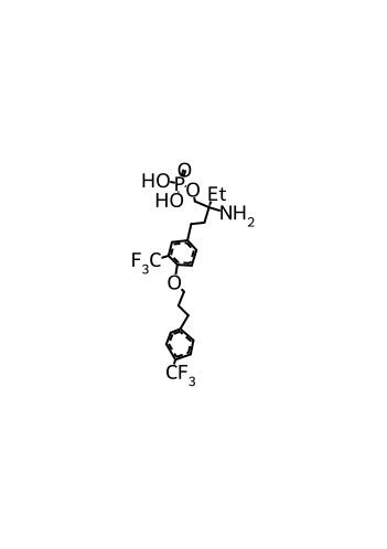 CC[C@@](N)(CCc1ccc(OCCCc2ccc(C(F)(F)F)cc2)c(C(F)(F)F)c1)COP(=O)(O)O